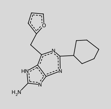 Nc1nc2nc(C3CCCCC3)nc(Cc3ccco3)c2[nH]1